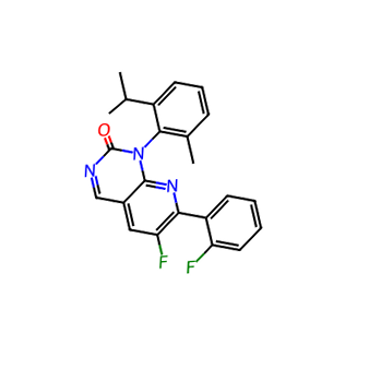 Cc1cccc(C(C)C)c1-n1c(=O)ncc2cc(F)c(-c3ccccc3F)nc21